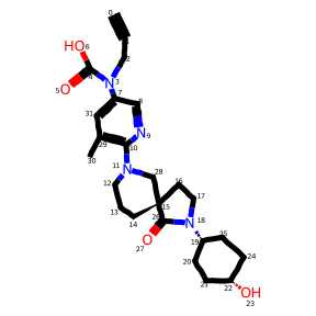 C#CCN(C(=O)O)c1cnc(N2CCC[C@]3(CCN([C@H]4CC[C@@H](O)CC4)C3=O)C2)c(C)c1